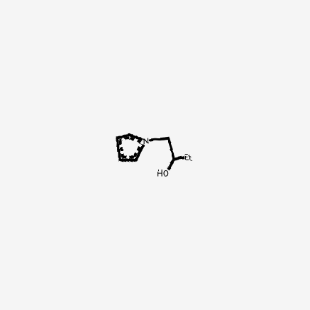 CCC(O)Cn1cccc1